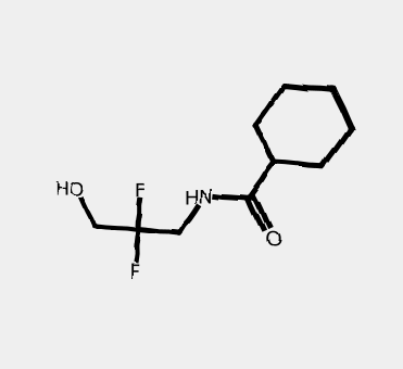 O=C(NCC(F)(F)CO)C1CCCCC1